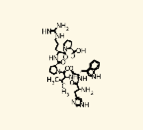 CC(C)[C@H](NC(=O)[C@H](Cc1c[nH]c2ccccc12)NC(=O)[C@@H](N)Cc1c[nH]cn1)C(=O)N1CCC[C@H]1C(=O)N[C@@H](CCCNC(=N)N)C(=O)N1CCC[C@H]1C(=O)O